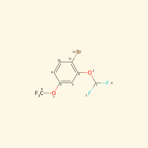 FC(F)Oc1cc(OC(F)(F)F)ccc1Br